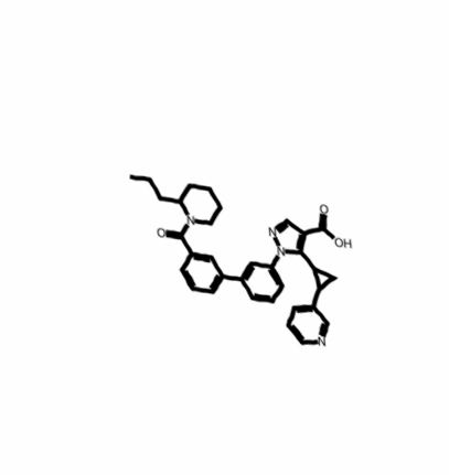 CCCC1CCCCN1C(=O)c1cccc(-c2cccc(-n3ncc(C(=O)O)c3C3CC3c3cccnc3)c2)c1